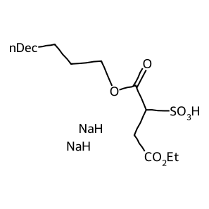 CCCCCCCCCCCCCOC(=O)C(CC(=O)OCC)S(=O)(=O)O.[NaH].[NaH]